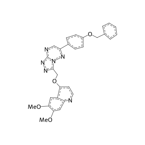 COc1cc2nccc(OCc3nnc4ncc(-c5ccc(OCc6ccccc6)cc5)nn34)c2cc1OC